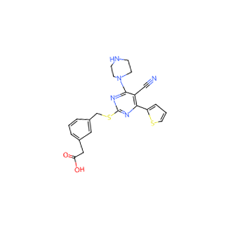 N#Cc1c(-c2cccs2)nc(SCc2cccc(CC(=O)O)c2)nc1N1CCNCC1